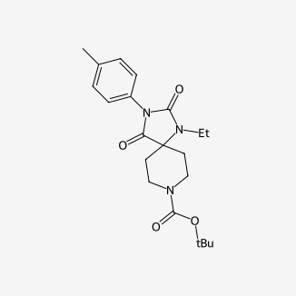 CCN1C(=O)N(c2ccc(C)cc2)C(=O)C12CCN(C(=O)OC(C)(C)C)CC2